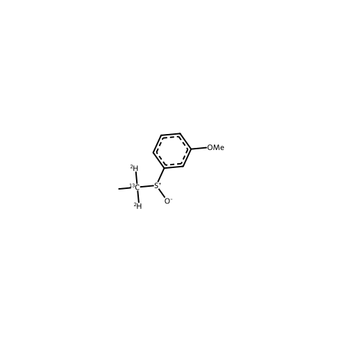 [2H][13C]([2H])(C)[S+]([O-])c1cccc(OC)c1